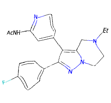 CCN1CCn2nc(-c3ccc(F)cc3)c(-c3ccnc(NC(C)=O)c3)c2C1